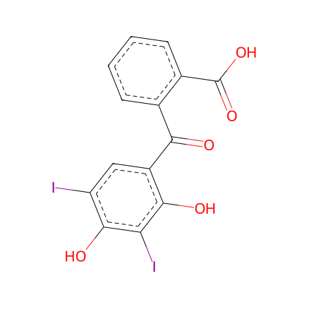 O=C(O)c1ccccc1C(=O)c1cc(I)c(O)c(I)c1O